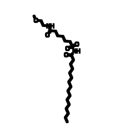 CCCCCCCCCCCCCCCC(=O)NS(=O)(=O)CCCCCC(=O)NCCOC